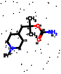 CC(C)N1CCC(CC(C)(C)OC(N)=O)CC1